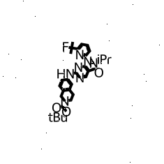 CC(C)n1c(=O)c2cnc(Nc3ccc4c(c3)CCN(C(=O)OC(C)(C)C)C4)nc2n1-c1cccc(C(C)(C)F)n1